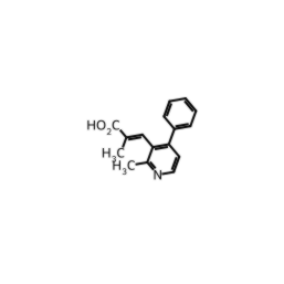 CC(=Cc1c(-c2ccccc2)ccnc1C)C(=O)O